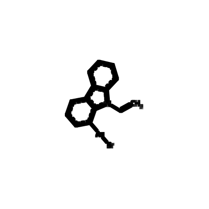 C=Cn1c2ccccc2c2ccc[c]([Au][Br])c21